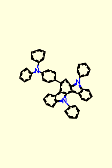 c1ccc(N(c2ccccc2)c2ccc(-c3cc4c(c5ccccc5n4-c4ccccc4)c4c3c3ccccc3n4-c3ccccc3)cc2)cc1